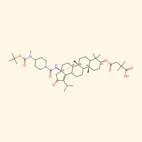 CC(C)C1=C2C3CCC4[C@@]5(C)CC[C@H](OC(=O)CC(C)(C)C(=O)O)C(C)(C)C5CC[C@@]4(C)[C@]3(C)CC[C@@]2(NC(=O)N2CCC(N(C)C(=O)OC(C)(C)C)CC2)CC1=O